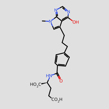 Cn1cc(CCCc2ccc(C(=O)N[C@@H](CCC(=O)O)C(=O)O)cc2)c2c(O)ncnc21